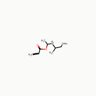 C=CC(=O)OC(C)[SiH2]C(C)COC